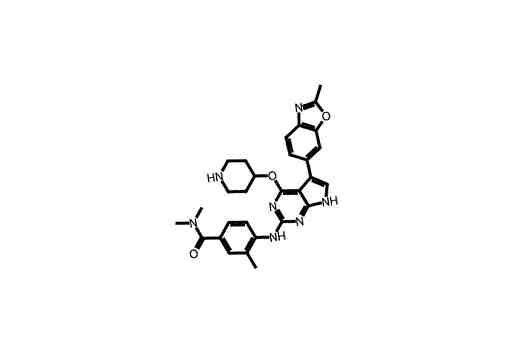 Cc1nc2ccc(-c3c[nH]c4nc(Nc5ccc(C(=O)N(C)C)cc5C)nc(OC5CCNCC5)c34)cc2o1